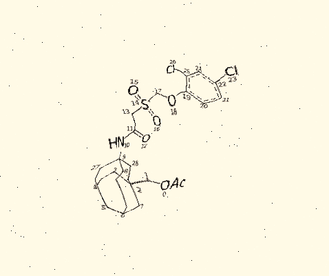 CC(=O)OCC12CC3CC(C1)CC(NC(=O)CS(=O)(=O)COc1ccc(Cl)cc1Cl)(C3)C2